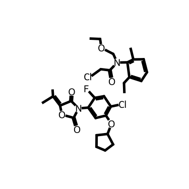 CC(C)=C1OC(=O)N(c2cc(OC3CCCC3)c(Cl)cc2F)C1=O.CCOCN(C(=O)CCl)c1c(C)cccc1CC